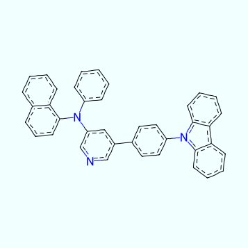 c1ccc(N(c2cncc(-c3ccc(-n4c5ccccc5c5ccccc54)cc3)c2)c2cccc3ccccc23)cc1